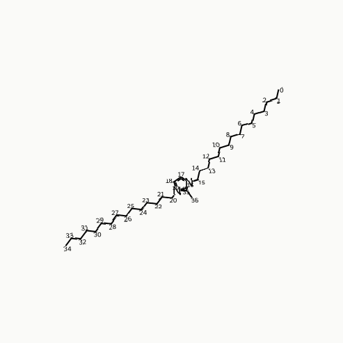 CCCCCCCCCCCCCCCCn1cc[n+](CCCCCCCCCCCCCCC)c1C